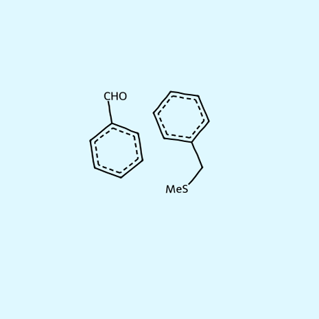 CSCc1ccccc1.O=Cc1ccccc1